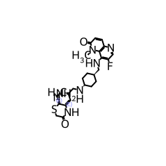 C=C(/C=C1/NC(=O)CS/C1=N/N)CN[C@H]1CC[C@H](CNc2c(F)cnc3ccc(=O)n(C)c23)CC1